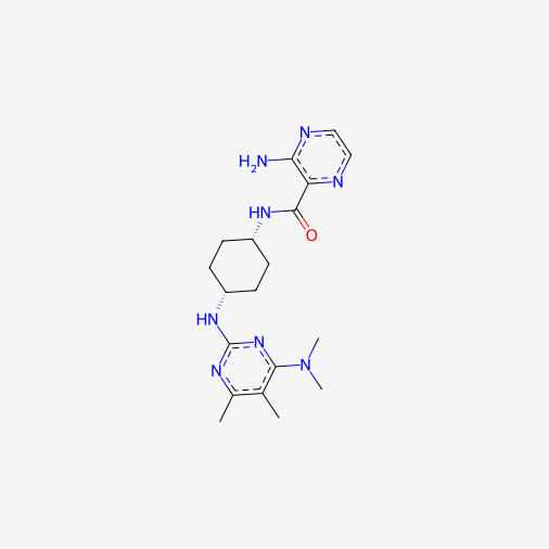 Cc1nc(N[C@H]2CC[C@@H](NC(=O)c3nccnc3N)CC2)nc(N(C)C)c1C